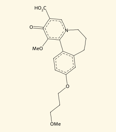 COCCCOc1ccc2c(c1)CCCn1cc(C(=O)O)c(=O)c(OC)c1-2